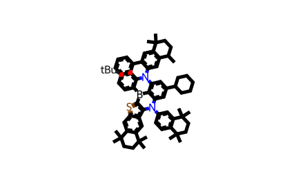 CC1CCC(C)(C)c2cc(-c3ccccc3)c(N3c4cc(C(C)(C)C)ccc4B4c5sc6cc7c(cc6c5N(c5ccc6c(c5)C(C)(C)CCC6(C)C)c5cc(C6CCCCC6)cc3c54)C(C)(C)CCC7(C)C)cc21